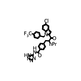 CCCC(Cc1ccc(C(=O)Nc2nnn[nH]2)cc1)C(=O)c1cc2cc(Cl)ccc2n1Cc1ccc(C(F)(F)F)cc1